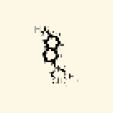 CCN(CC)c1ccc2cc(C)ccc2c1